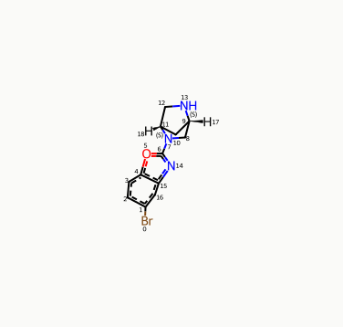 Brc1ccc2oc(N3C[C@@H]4C[C@H]3CN4)nc2c1